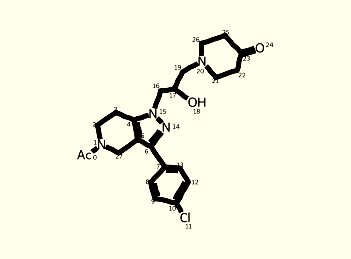 CC(=O)N1CCc2c(c(-c3ccc(Cl)cc3)nn2CC(O)CN2CCC(=O)CC2)C1